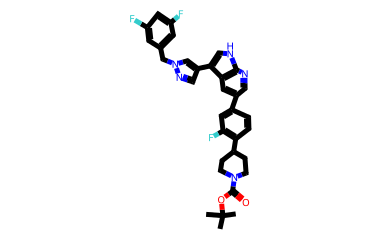 CC(C)(C)OC(=O)N1CCC(c2ccc(-c3cnc4[nH]cc(-c5cnn(Cc6cc(F)cc(F)c6)c5)c4c3)cc2F)CC1